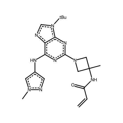 C=CC(=O)NC1(C)CN(c2nc(Nc3cnn(C)c3)c3ncn(C(C)(C)C)c3n2)C1